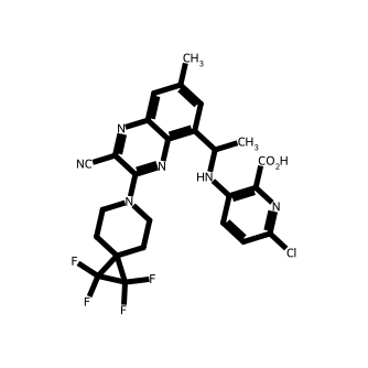 Cc1cc(C(C)Nc2ccc(Cl)nc2C(=O)O)c2nc(N3CCC4(CC3)C(F)(F)C4(F)F)c(C#N)nc2c1